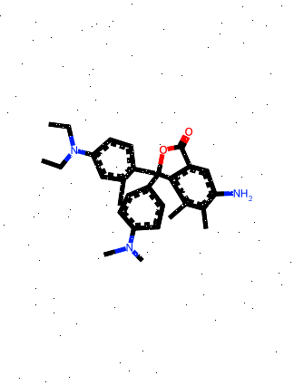 CCN(CC)c1ccc(C2(c3ccc(N(C)C)cc3)OC(=O)c3cc(N)c(C)c(C)c32)c(C)c1